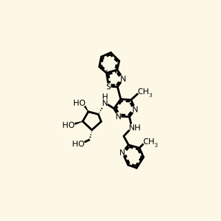 Cc1cccnc1CNc1nc(C)c(-c2nc3ccccc3s2)c(N[C@@H]2C[C@H](CO)[C@@H](O)[C@H]2O)n1